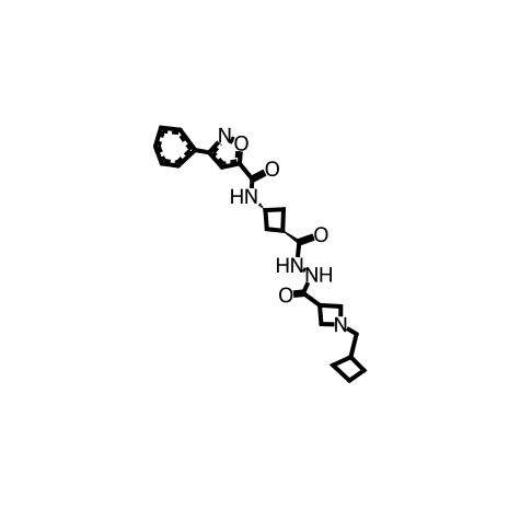 O=C(N[C@H]1C[C@H](C(=O)NNC(=O)C2CN(CC3CCC3)C2)C1)c1cc(-c2ccccc2)no1